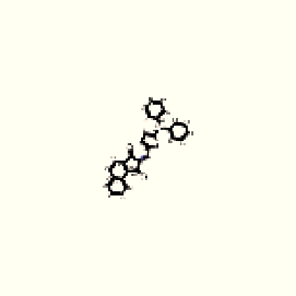 O=C1/C(=C\c2ccc(N(c3ccccc3)c3ccccc3)s2)C(=O)c2c1ccc1ccccc21